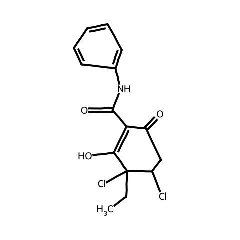 CCC1(Cl)C(O)=C(C(=O)Nc2ccccc2)C(=O)CC1Cl